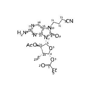 CCC(=O)O[C@H]1O[C@@H](n2c(=O)n(CCCC#N)c3cnc(N)nc32)[C@H](OC(C)=O)[C@H]1F